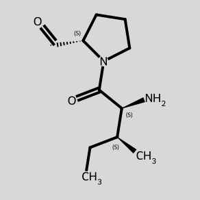 CC[C@H](C)[C@H](N)C(=O)N1CCC[C@H]1[C]=O